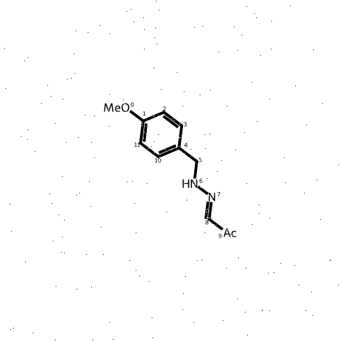 COc1ccc(CNN=CC(C)=O)cc1